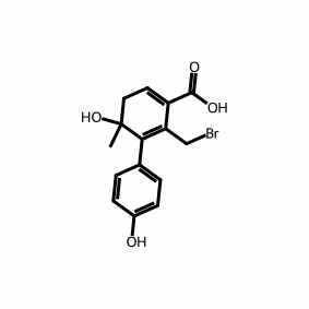 CC1(O)CC=C(C(=O)O)C(CBr)=C1c1ccc(O)cc1